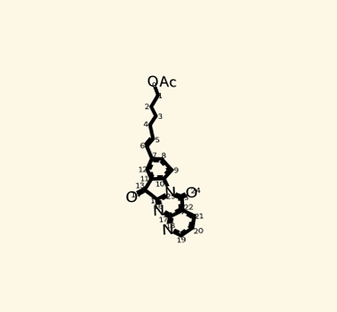 CC(=O)OCCCC/C=C/c1ccc2c(c1)C(=O)c1nc3ncccc3c(=O)n1-2